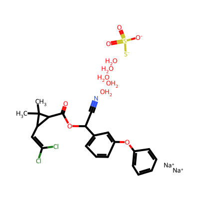 CC1(C)C(C=C(Cl)Cl)C1C(=O)OC(C#N)c1cccc(Oc2ccccc2)c1.O.O.O.O.O.O=S(=O)([O-])[S-].[Na+].[Na+]